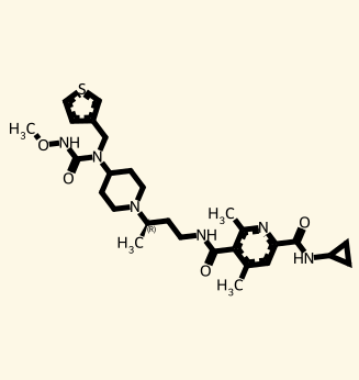 CONC(=O)N(Cc1ccsc1)C1CCN([C@H](C)CCNC(=O)c2c(C)cc(C(=O)NC3CC3)nc2C)CC1